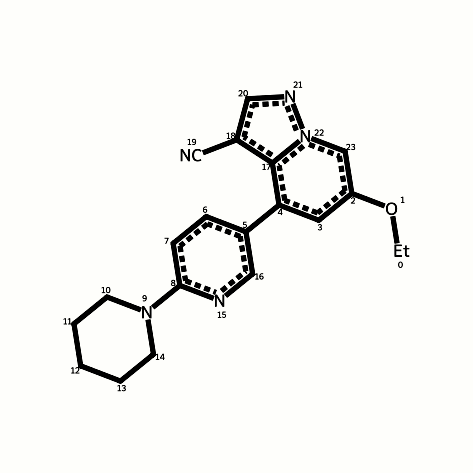 CCOc1cc(-c2ccc(N3CCCCC3)nc2)c2c(C#N)cnn2c1